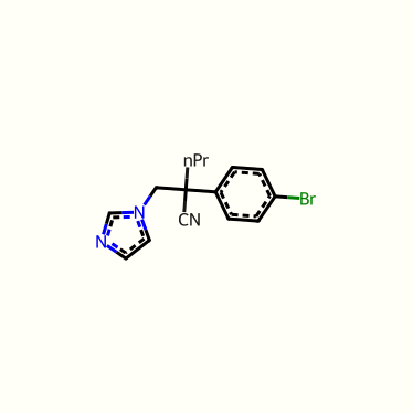 CCCC(C#N)(Cn1ccnc1)c1ccc(Br)cc1